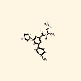 COCC(C)NC(=O)c1cc(-c2ccc(C)cc2)cc(-n2cncn2)c1